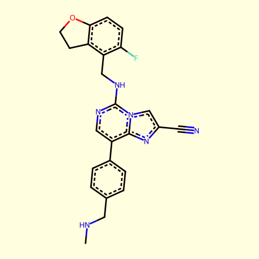 CNCc1ccc(-c2cnc(NCc3c(F)ccc4c3CCO4)n3cc(C#N)nc23)cc1